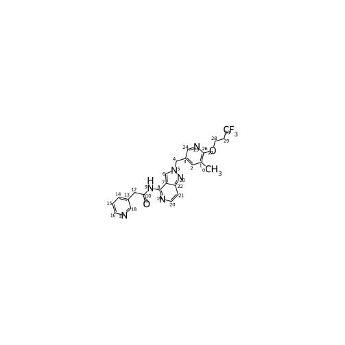 Cc1cc(Cn2cc3c(NC(=O)Cc4cccnc4)nccc3n2)cnc1OCCC(F)(F)F